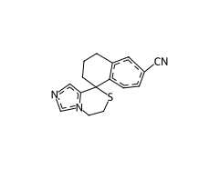 N#Cc1ccc2c(c1)CCCC21SCCn2cncc21